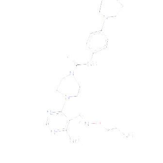 NCCO/N=C/c1c(N)ncnc1N1CCN(C(=O)Nc2ccc(N3CCOCC3)cc2)CC1